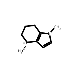 C[C@@H]1CCCc2c1ccn2C